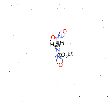 CCOC(=O)N1C2COCC1CC(N1C[C@@H]3[C@H](C1)[C@H]3C(=O)N1CCOCC1)C2